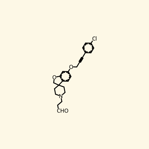 O=CCCN1CCC2(CC1)COc1cc(OCC#Cc3ccc(Cl)cc3)ccc12